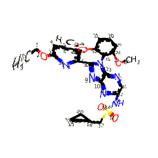 CCOc1cccc(-c2nc3nc(NS(=O)(=O)CC4CC4)cnc3n2-c2c(OC)cccc2OC)n1